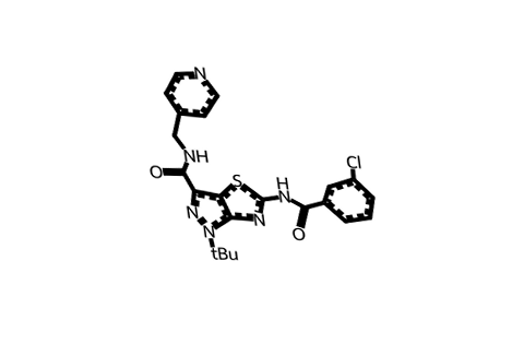 CC(C)(C)n1nc(C(=O)NCc2ccncc2)c2sc(NC(=O)c3cccc(Cl)c3)nc21